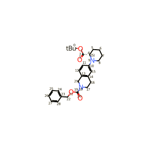 CC(C)(C)OC(=O)[C@@H]1CCCCN1c1ccc2c(c1)CCN(C(=O)OCc1ccccc1)C2